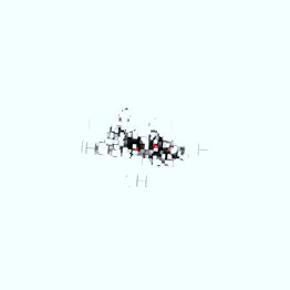 C=C1C[C@@H](C[C@]2(OC)O[C@H](CC(CC(=O)O)O[Si](CC)(CC)CC)C[C@H](OC(C)=O)C2(C)C)O[C@@H](C=CC(C)(C)[C@]2(OC)O[C@H](C[C@@H](OCc3ccc(OC)cc3)[C@@H](C)OCOCc3ccccc3)CC(=CC(=O)OC)[C@@H]2OC(=O)C=CC=CCCC)C1